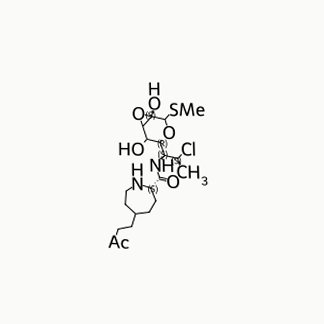 CSC1O[C@H]([C@H](NC(=O)[C@@H]2CCC(CCC(C)=O)CCN2)[C@H](C)Cl)C(O)C2O[C@]12O